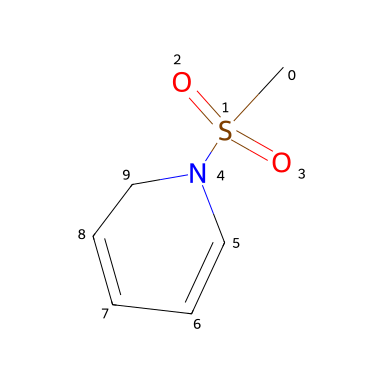 CS(=O)(=O)N1C=CC=CC1